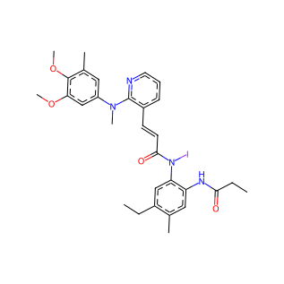 CCC(=O)Nc1cc(C)c(CC)cc1N(I)C(=O)/C=C/c1cccnc1N(C)c1cc(C)c(OC)c(OC)c1